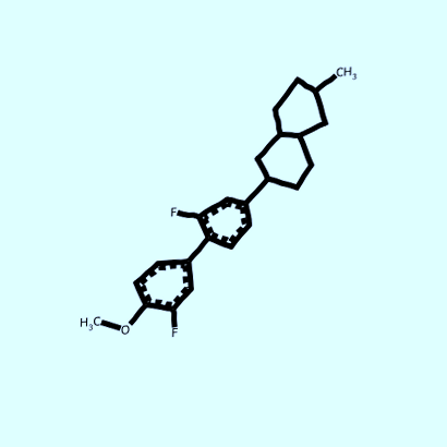 COc1ccc(-c2ccc(C3CCC4CC(C)CCC4C3)cc2F)cc1F